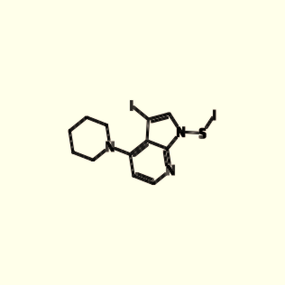 ISn1cc(I)c2c(N3CCCCC3)ccnc21